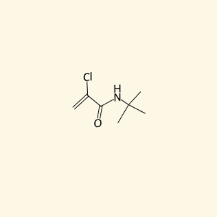 C=C(Cl)C(=O)NC(C)(C)C